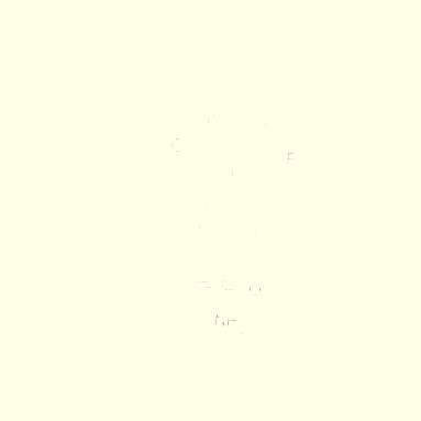 COc1cccc(F)c1-c1ccc(S(N)(=O)=O)cc1